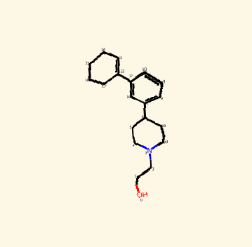 OCCN1CCC(c2cc[c]c(C3=CCCCC3)c2)CC1